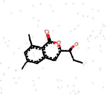 CCC(=O)c1cc2cc(C)cc(C)c2c(=O)o1